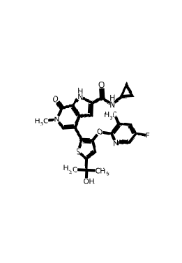 Cc1cc(F)cnc1Oc1cc(C(C)(C)O)sc1-c1cn(C)c(=O)c2[nH]c(C(=O)NC3CC3)cc12